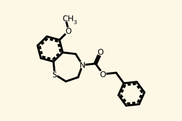 COc1cccc2c1CN(C(=O)OCc1ccccc1)CCS2